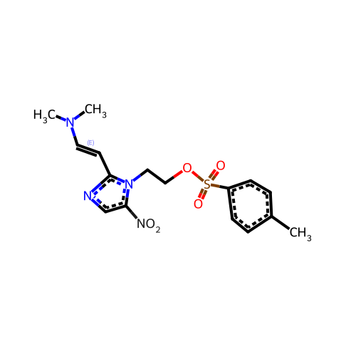 Cc1ccc(S(=O)(=O)OCCn2c([N+](=O)[O-])cnc2/C=C/N(C)C)cc1